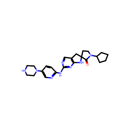 O=C1N(C2CCCC2)CCC12Cc1cnc(Nc3ccc(N4CCNCC4)cn3)nc1N2